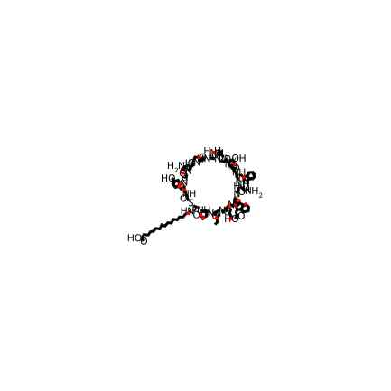 CCCC[C@H]1C(=O)N(C)[C@@H](CCCC)C(=O)N[C@@H](CC(C)C)C(=O)N[C@H](C(=O)NCCCCCCCCCCCCCCCCC(=O)O)CSCC(=O)N[C@@H](Cc2ccc(O)cc2)C(=O)N(C)[C@@H](C)C(=O)N[C@@H](CC(N)=O)C(=O)N2CCC[C@H]2C(=O)N[C@@H](CN)C(=O)N[C@@H](CC(C)C)C(=O)N2C[C@H](O)C[C@H]2C(=O)N[C@@H](Cc2c[nH]c3ccccc23)C(=O)N[C@@H](CCN)C(=O)N[C@@H](CC2=CC(CC(=O)O)c3ccccc32)C(=O)N1C